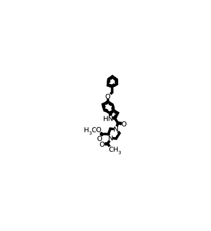 COC(=O)C1CN(C(=O)c2cc3cc(OCc4ccccc4)ccc3[nH]2)CCN1C(C)=O